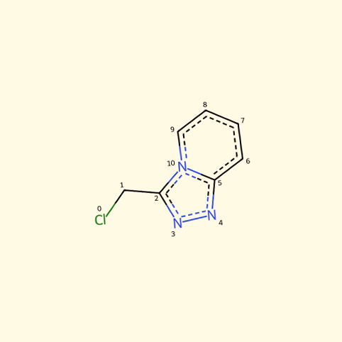 ClCc1nnc2ccccn12